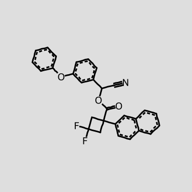 N#CC(OC(=O)C1(c2ccc3ccccc3c2)CC(F)(F)C1)c1cccc(Oc2ccccc2)c1